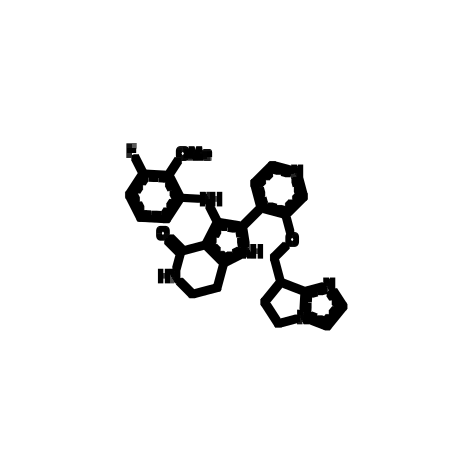 COc1c(F)cccc1Nc1c(-c2ccncc2OCC2CCn3ccnc32)[nH]c2c1C(=O)NCC2